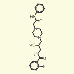 O=C(CN1CCN(CC(O)CNC(=O)c2ccccc2F)CC1)Nc1ccccc1